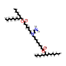 CCCCCCCCC(CCCCCC)COC(=O)CCCCCCCCCN(CCCCCCCC(=O)OCC(CCCCCC)CCCCCCCC)CCN(C)C